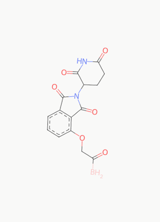 BC(=O)COc1cccc2c1C(=O)N(C1CCC(=O)NC1=O)C2=O